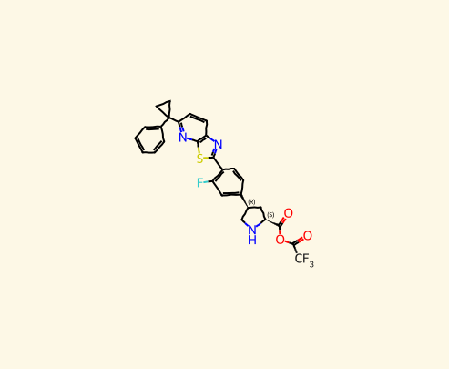 O=C(OC(=O)C(F)(F)F)[C@@H]1C[C@H](c2ccc(-c3nc4ccc(C5(c6ccccc6)CC5)nc4s3)c(F)c2)CN1